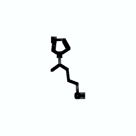 CC(CCCO)n1ccnc1